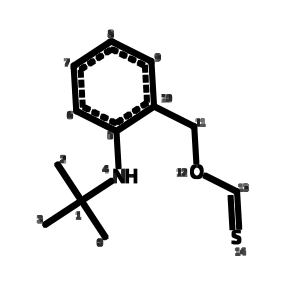 CC(C)(C)Nc1ccccc1COC=S